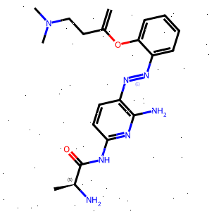 C=C(CCN(C)C)Oc1ccccc1/N=N/c1ccc(NC(=O)[C@H](C)N)nc1N